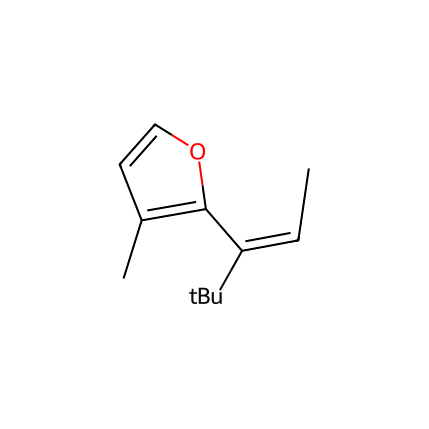 C/C=C(\c1occc1C)C(C)(C)C